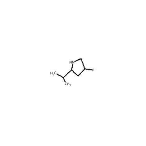 CC(C)C1CC(F)CN1